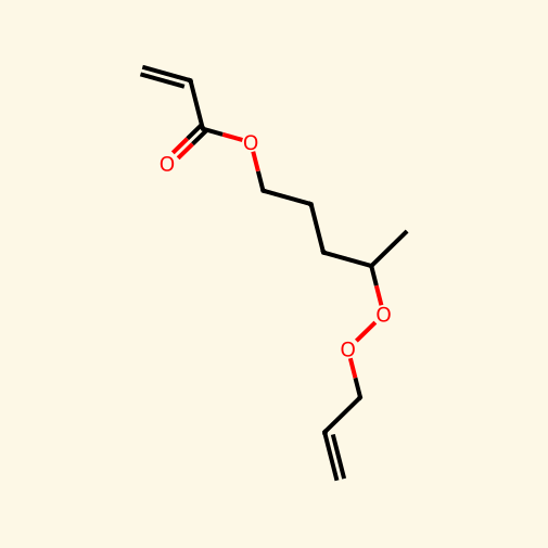 C=CCOOC(C)CCCOC(=O)C=C